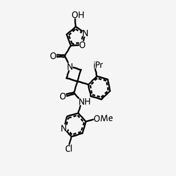 COc1cc(Cl)ncc1NC(=O)C1(c2ccccc2C(C)C)CN(C(=O)c2cc(O)no2)C1